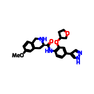 COc1ccc2c(c1)C[C@H](C(=O)Nc1ccc(-c3cn[nH]c3)cc1OC1CCOC1)NC2